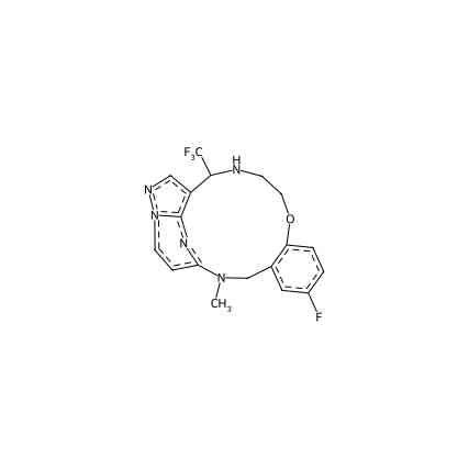 CN1Cc2cc(F)ccc2OCCNC(C(F)(F)F)c2cnn3ccc1nc23